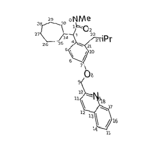 CNC(=O)C(c1ccc(OCc2ccc3ccccc3n2)cc1CC(C)C)C1CCCCCC1